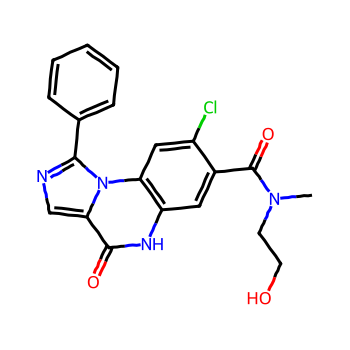 CN(CCO)C(=O)c1cc2[nH]c(=O)c3cnc(-c4ccccc4)n3c2cc1Cl